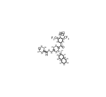 Cl.Cl.O=C(c1cc(C(F)(F)F)cc(C(F)(F)F)c1)N1CCN(CCNN2CCOCC2)C[C@H]1Cc1ccc2ccccc2c1